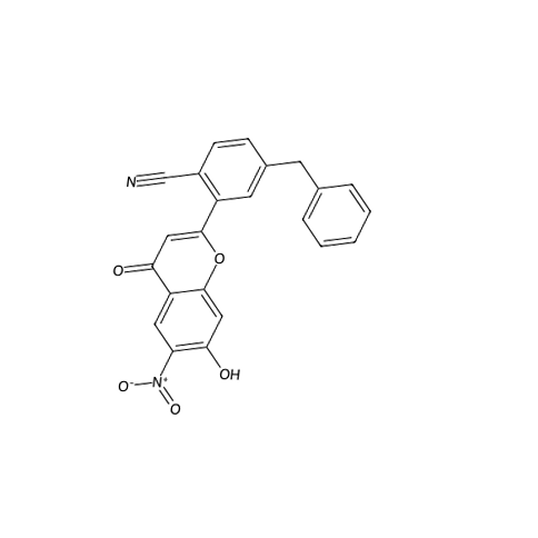 N#Cc1ccc(Cc2ccccc2)cc1-c1cc(=O)c2cc([N+](=O)[O-])c(O)cc2o1